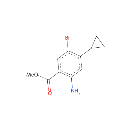 COC(=O)c1cc(Br)c(C2CC2)cc1N